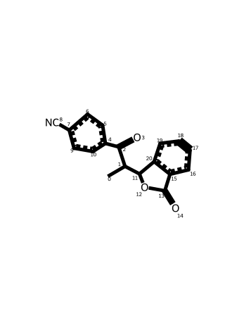 CC(C(=O)c1ccc(C#N)cc1)C1OC(=O)c2cc#ccc21